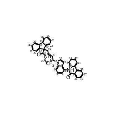 O=C(Nc1cccc2c1ccn2CCCCC1(C(=O)NCC(F)(F)F)c2ccccc2-c2ccccc21)c1ccccc1-c1ccccn1